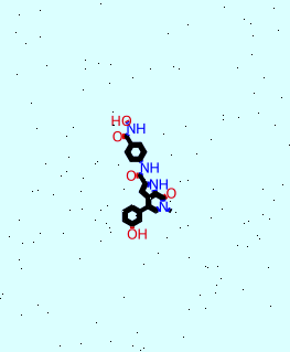 Cn1cc(-c2cccc(O)c2)c2cc(C(=O)Nc3ccc(C(=O)NO)cc3)[nH]c2c1=O